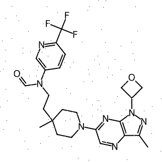 Cc1nn(C2COC2)c2nc(N3CCC(C)(CCN(C=O)c4ccc(C(F)(F)F)nc4)CC3)cnc12